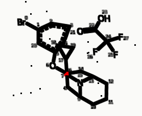 Brc1cccc(OC2CC3CCCC(C2)N3CC2CC2)c1.O=C(O)C(F)(F)F